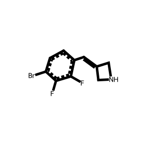 Fc1c(Br)ccc(C=C2CNC2)c1F